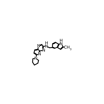 Cc1cc2cc(CNc3cnc4ccc(N5CCCCC5)nc4n3)ccc2[nH]1